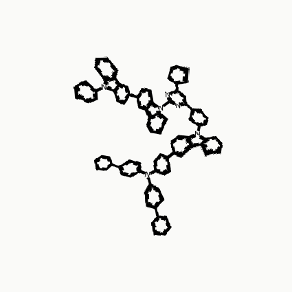 c1ccc(-c2ccc(N(c3ccc(-c4ccccc4)cc3)c3ccc(-c4ccc5c(c4)c4ccccc4n5-c4cccc(-c5cc(-c6ccccc6)nc(-n6c7ccccc7c7cc(-c8ccc9c(c8)c8ccccc8n9-c8ccccc8)ccc76)n5)c4)cc3)cc2)cc1